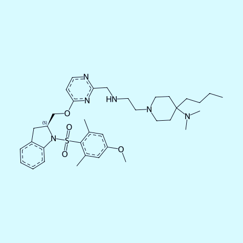 CCCCC1(N(C)C)CCN(CCNCc2nccc(OC[C@@H]3Cc4ccccc4N3S(=O)(=O)c3c(C)cc(OC)cc3C)n2)CC1